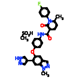 CS(=O)(=O)O.Cc1ccc(C(=O)Nc2ccc(Oc3cc4cnn(C)c4cc3-c3cn[nH]c3)cc2)c(=O)n1-c1ccc(F)cc1